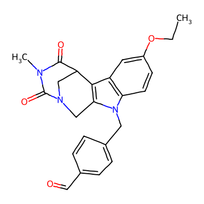 CCOc1ccc2c(c1)c1c(n2Cc2ccc(C=O)cc2)CN2CC1C(=O)N(C)C2=O